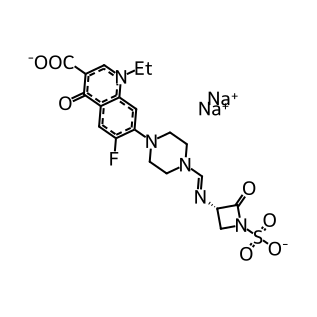 CCn1cc(C(=O)[O-])c(=O)c2cc(F)c(N3CCN(C=N[C@H]4CN(S(=O)(=O)[O-])C4=O)CC3)cc21.[Na+].[Na+]